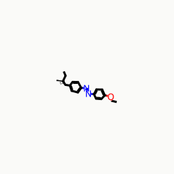 CCOc1ccc(N=Nc2ccc(C[C@@H](C)CC)cc2)cc1